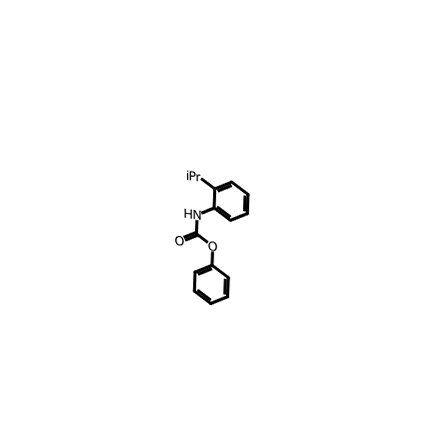 CC(C)c1ccccc1NC(=O)Oc1ccccc1